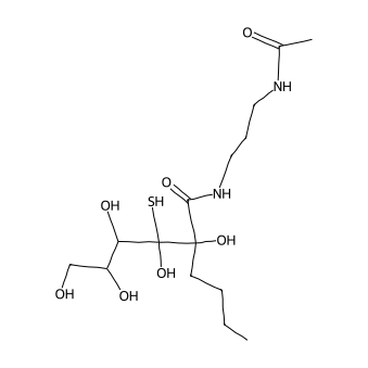 CCCCC(O)(C(=O)NCCCNC(C)=O)C(O)(S)C(O)C(O)CO